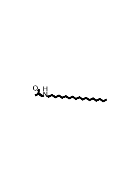 CCCCCCCCCCCCCCCCCCNC=C(C)C=O